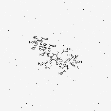 CCCCCc1cc(O[C@@H]2O[C@H](CO)[C@@H](O)[C@H](O[C@@H]3O[C@H](C)[C@@H](O)[C@H](O)[C@H]3O)[C@H]2O)c([C@@H]2C=C(C)CCC2)c(O[C@@H]2O[C@H](CO)[C@@H](O)[C@H](O[C@@H]3O[C@H](CO)[C@@H](O)[C@H](O)[C@H]3O)[C@H]2O)c1